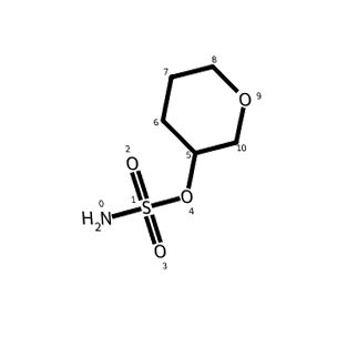 NS(=O)(=O)OC1CCCOC1